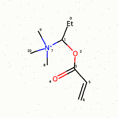 [CH2]CC(OC(=O)C=C)[N+](C)(C)C